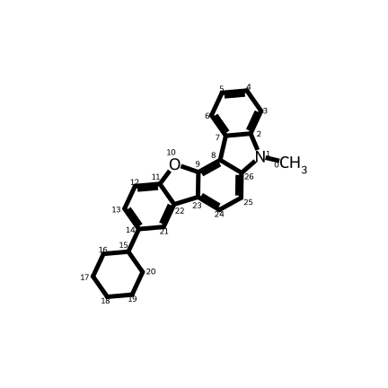 Cn1c2ccccc2c2c3oc4ccc(C5CCCCC5)cc4c3ccc21